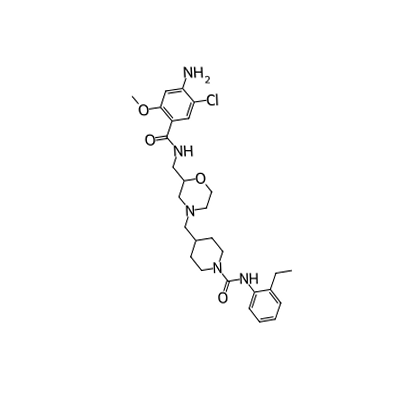 CCc1ccccc1NC(=O)N1CCC(CN2CCOC(CNC(=O)c3cc(Cl)c(N)cc3OC)C2)CC1